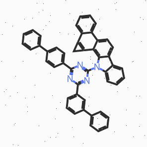 c1ccc(-c2ccc(-c3nc(-c4cccc(-c5ccccc5)c4)nc(-n4c5ccccc5c5ccc6c7ccccc7c7c(c6c54)C7)n3)cc2)cc1